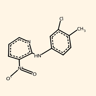 Cc1ccc(Nc2ncccc2[N+](=O)[O-])cc1Cl